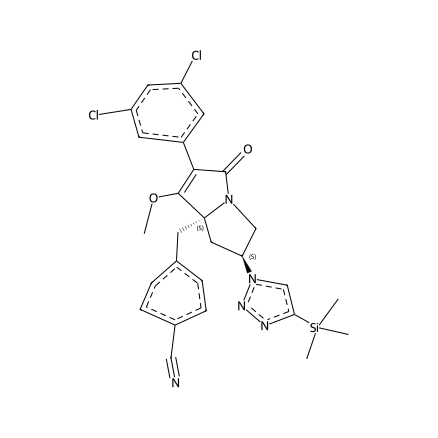 COC1=C(c2cc(Cl)cc(Cl)c2)C(=O)N2C[C@@H](n3cc([Si](C)(C)C)nn3)C[C@@]12Cc1ccc(C#N)cc1